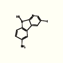 Bc1ccc2c(c1)c1cc(I)cnc1n2S